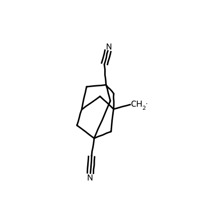 [CH2]C12CC3CC(C#N)(C1)CC(C#N)(C3)C2